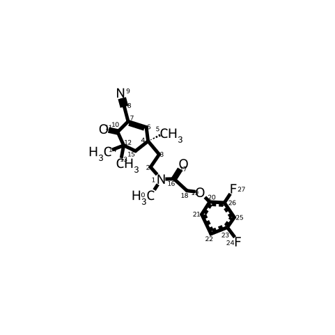 CN(CC[C@]1(C)C=C(C#N)C(=O)C(C)(C)C1)C(=O)COc1ccc(F)cc1F